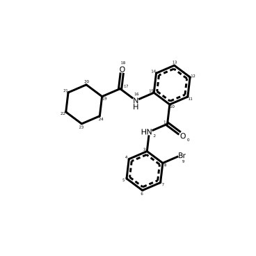 O=C(Nc1ccccc1Br)c1ccccc1NC(=O)C1CCCCC1